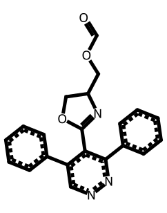 O=COCC1COC(c2c(-c3ccccc3)cnnc2-c2ccccc2)=N1